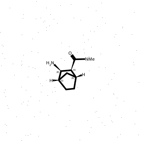 CNC(=O)[C@H]1[C@@H]2CC[C@@H](C2)[C@H]1N